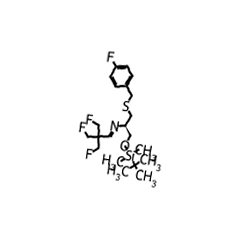 CC(C)(C)[Si](C)(C)OC[C@H](CSCc1ccc(F)cc1)N=CC(CF)(CF)CF